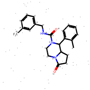 Cc1ccccc1C1C2CCC(=O)N2CCN1C(=O)NCc1cccc(C(F)(F)F)c1